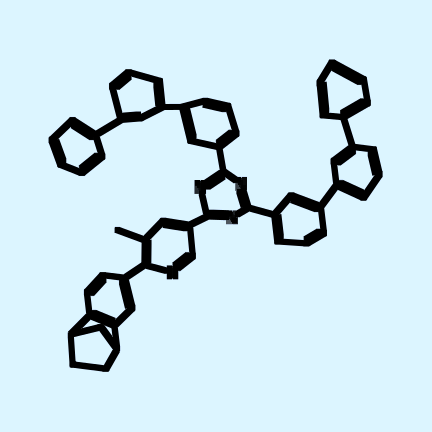 Cc1cc(-c2nc(-c3cccc(-c4cccc(-c5ccccc5)c4)c3)nc(-c3cccc(-c4cccc(-c5ccccc5)c4)c3)n2)cnc1-c1ccc2c(c1)C1CCC2C1